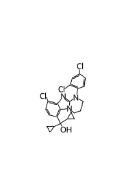 OC(c1ccc(Cl)c2nc3n(c12)CCCN3c1ccc(Cl)cc1Cl)(C1CC1)C1CC1